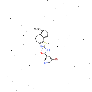 COc1cccc2c1CCCc1nc(NC(=O)c3cncc(Br)c3)sc1-2